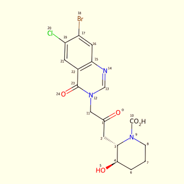 O=C(C[C@H]1[C@H](O)CCCN1C(=O)O)Cn1cnc2cc(Br)c(Cl)cc2c1=O